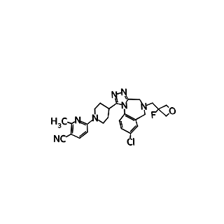 Cc1nc(N2CCC(c3nnc4n3-c3ccc(Cl)cc3CN(CC3(F)COC3)C4)CC2)ccc1C#N